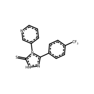 FC(F)(F)c1ccc(-c2n[nH]c(=S)n2-c2cccnc2)cc1